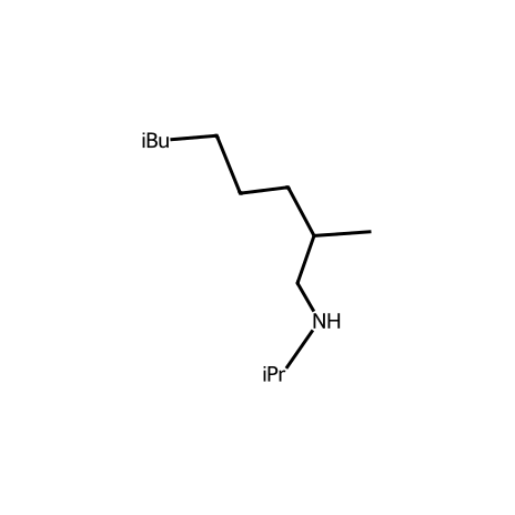 CCC(C)CCCC(C)CNC(C)C